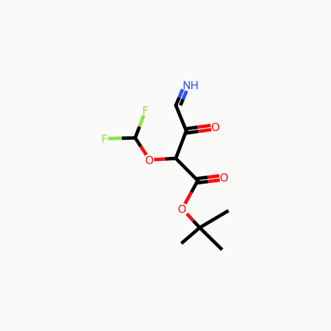 CC(C)(C)OC(=O)C(OC(F)F)C(=O)C=N